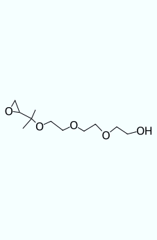 CC(C)(OCCOCCOCCO)C1CO1